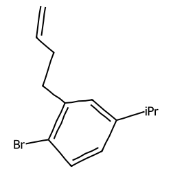 C=CCCc1cc(C(C)C)ccc1Br